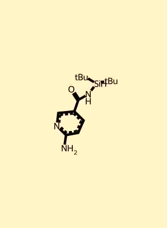 CC(C)(C)[SiH](NC(=O)c1ccc(N)nc1)C(C)(C)C